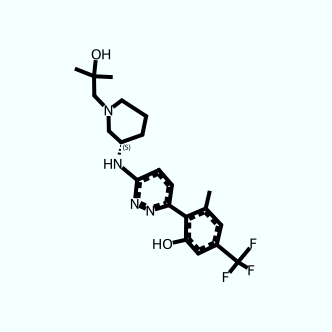 Cc1cc(C(F)(F)F)cc(O)c1-c1ccc(N[C@H]2CCCN(CC(C)(C)O)C2)nn1